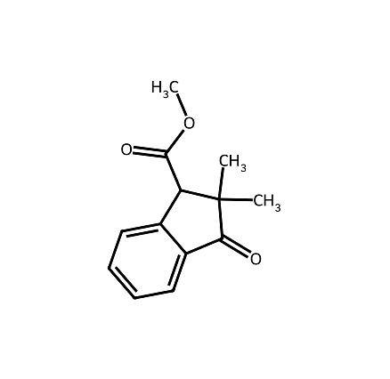 COC(=O)C1c2ccccc2C(=O)C1(C)C